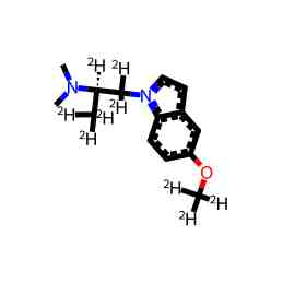 [2H]C([2H])([2H])Oc1ccc2c(ccn2C([2H])([2H])[C@]([2H])(N(C)C)C([2H])([2H])[2H])c1